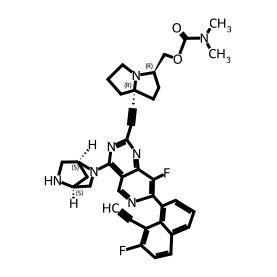 C#Cc1c(F)ccc2cccc(-c3ncc4c(N5C[C@@H]6C[C@H]5CN6)nc(C#C[C@]56CCCN5[C@@H](COC(=O)N(C)C)CC6)nc4c3F)c12